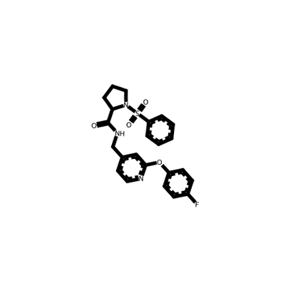 O=C(NCc1ccnc(Oc2ccc(F)cc2)c1)C1CCCN1S(=O)(=O)c1ccccc1